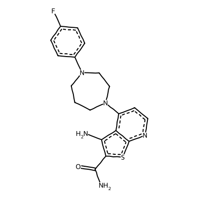 NC(=O)c1sc2nccc(N3CCCN(c4ccc(F)cc4)CC3)c2c1N